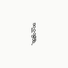 C=CCCOc1ccc(C(=O)Oc2ccc(-c3ccc(-c4ccc(OCC)cc4)c(F)c3F)cc2)c(F)c1F